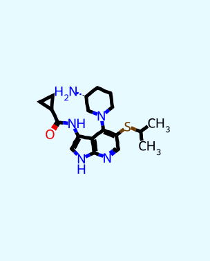 CC(C)Sc1cnc2[nH]cc(NC(=O)C3CC3)c2c1N1CCC[C@@H](N)C1